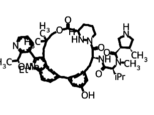 CCn1c(-c2cccnc2[C@H](C)OC)c2c3cc(ccc31)-c1cc(O)cc(c1)C[C@H](NC(=O)[C@H](C(C)C)N(C)C(=O)[C@H]1CNC[C@@H]1C)C(=O)N1CCC[C@H](N1)C(=O)OCC(C)(C)C2